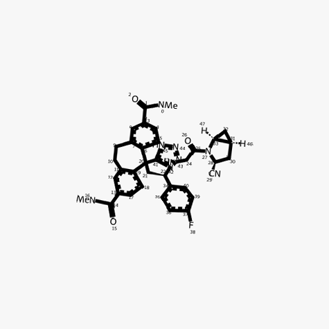 CNC(=O)c1ccc2c(c1)CCc1cc(C(=O)NC)ccc1C2(C[C@@H](NCC(=O)N1[C@H](C#N)C[C@@H]2C[C@@H]21)c1ccc(F)cc1)c1nnn[nH]1